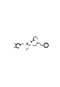 N[C@@H]1C[C@H]2C(=O)N([C@H](CCC(=O)O)C(=O)NCc3cc(Cl)c(Cl)cn3)CCC(CCc3ccccc3)N2C1